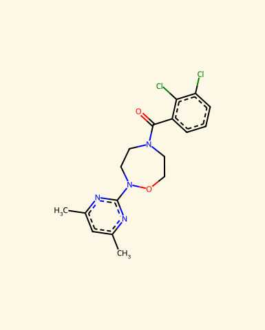 Cc1cc(C)nc(N2CCN(C(=O)c3cccc(Cl)c3Cl)CCO2)n1